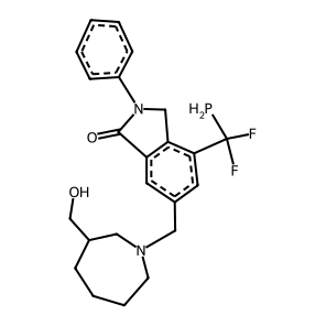 O=C1c2cc(CN3CCCCC(CO)C3)cc(C(F)(F)P)c2CN1c1ccccc1